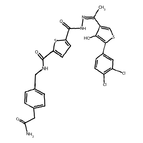 C/C(=N/NC(=O)c1ccc(C(=O)NCc2ccc(CC(N)=O)cc2)s1)c1csc(-c2ccc(Cl)c(Cl)c2)c1O